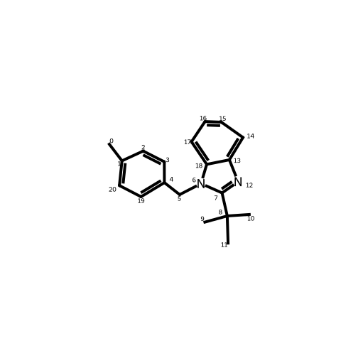 Cc1ccc(Cn2c(C(C)(C)C)nc3ccccc32)cc1